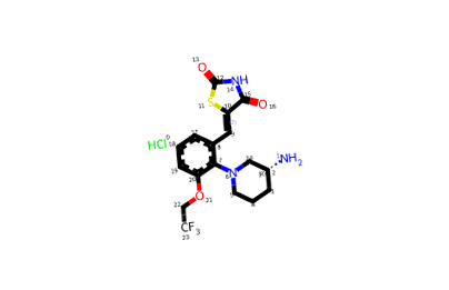 Cl.N[C@@H]1CCCN(c2c(/C=C3\SC(=O)NC3=O)cccc2OCC(F)(F)F)C1